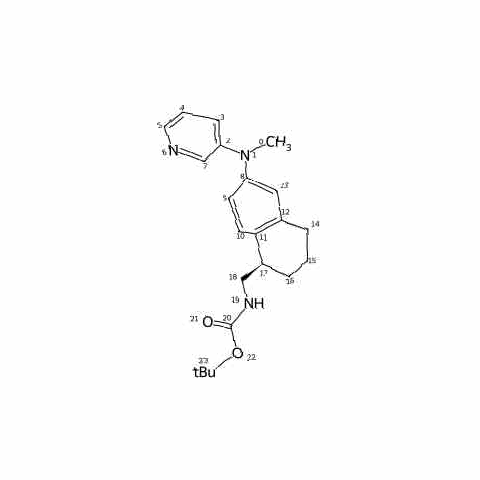 CN(c1cccnc1)c1ccc2c(c1)CCC[C@H]2CNC(=O)OC(C)(C)C